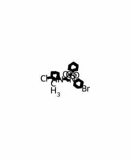 Cc1c(Cl)cccc1NC(=O)CN(c1ccc(Br)cc1)S(=O)(=O)c1ccccc1